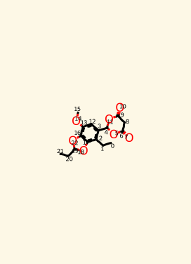 CCc1c(C2OC(=O)CC(=O)O2)cc(OC)c2c1OC(CC)O2